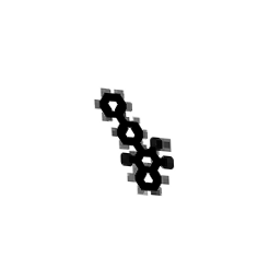 O=C1C(O)=C(c2ccc(-c3ccccc3)cc2)C(=O)c2ccccc21